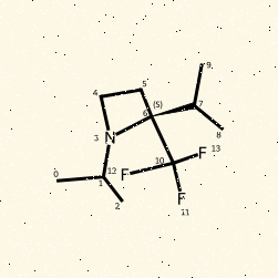 CC(C)N1CC[C@]1(C(C)C)C(F)(F)F